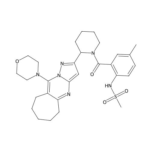 Cc1ccc(NS(C)(=O)=O)c(C(=O)N2CCCCC2c2cc3nc4c(c(N5CCOCC5)n3n2)CCCCC4)c1